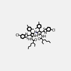 CCCCC(CC)C(=O)NC1=N/C(=N\c2[nH]c(NC(=O)C(CC)CCCC)c(-c3nc4cc(Cl)ccc4s3)c2-c2ccc(C)cc2C)C(c2ccc(C)cc2C)=C1c1nc2cc(Cl)ccc2s1